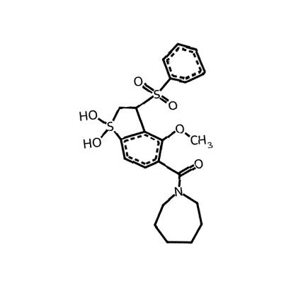 COc1c(C(=O)N2CCCCCC2)ccc2c1C(S(=O)(=O)c1ccccc1)CS2(O)O